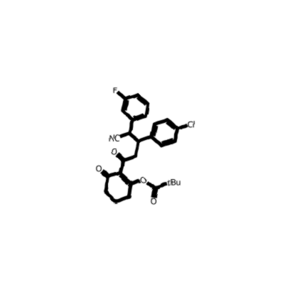 CC(C)(C)C(=O)OC1=C(C(=O)CC(c2ccc(Cl)cc2)C(C#N)c2cccc(F)c2)C(=O)CCC1